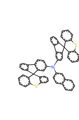 c1ccc2c(c1)Sc1ccccc1C21c2ccccc2-c2cc(N(c3ccc4c(c3)C3(c5ccccc5Sc5ccccc53)c3ccccc3-4)c3ccc4ccccc4c3)ccc21